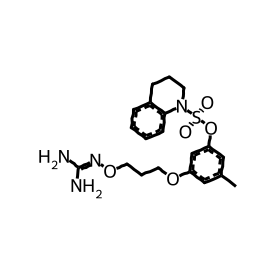 Cc1cc(OCCCON=C(N)N)cc(OS(=O)(=O)N2CCCc3ccccc32)c1